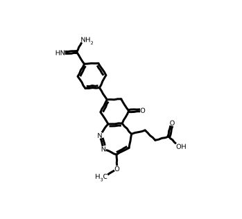 COC1=CC(CCC(=O)O)C2=C(C=C(c3ccc(C(=N)N)cc3)CC2=O)N=N1